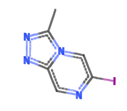 Cc1nnc2cnc(I)cn12